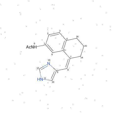 CC(=O)Nc1ccc2c(c1)/C(=C\c1c[nH]cn1)CCC2